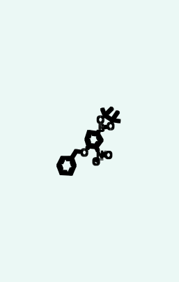 CC1(C)OB(c2ccc(OCc3ccccc3)c([N+](=O)[O-])c2)OC1(C)C